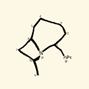 CCCC1CCCCC2CC(C)N12